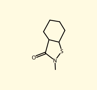 CN1SC2CCCCC2C1=O